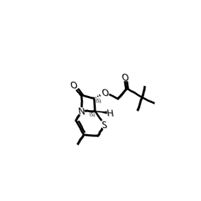 CC1=CN2C(=O)[C@H](OCC(=O)C(C)(C)C)[C@@H]2SC1